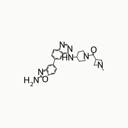 CN1CC(C(=O)N2CCC(Nc3ncnc4ccc(-c5ccc6oc(N)nc6c5)cc34)CC2)C1